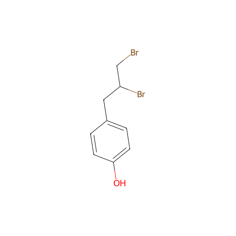 Oc1ccc(CC(Br)CBr)cc1